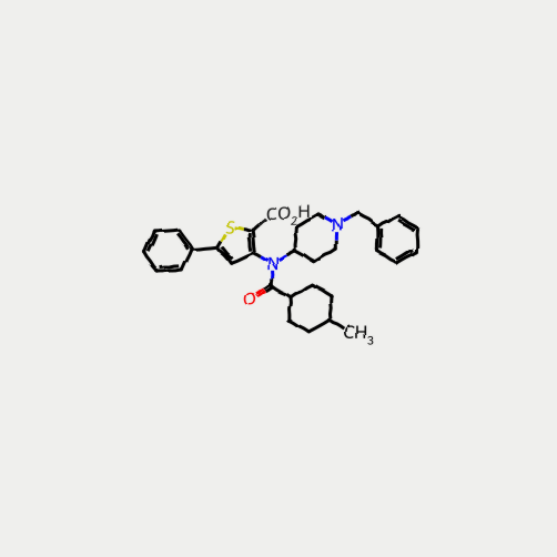 CC1CCC(C(=O)N(c2cc(-c3ccccc3)sc2C(=O)O)C2CCN(Cc3ccccc3)CC2)CC1